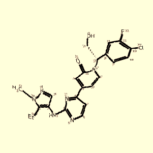 CCc1c(Nc2nccc(-c3ccn([C@H](CO)c4ccc(Cl)c(F)c4)c(=O)c3)n2)cnn1C